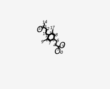 COC(=O)CCc1cc(C)c(C=CC(C)=O)c(C)c1